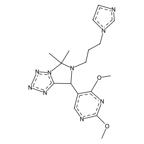 COc1ncc(C2c3nnnn3C(C)(C)N2CCCn2ccnc2)c(OC)n1